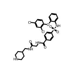 O=C(CNC(=O)c1ccc(S(=O)(=O)Nc2ccccc2Oc2ccc(Cl)cc2Cl)cc1)NCC1CCNCC1